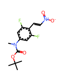 CN(C(=O)OC(C)(C)C)c1cc(F)c(C=C[N+](=O)[O-])c(F)c1